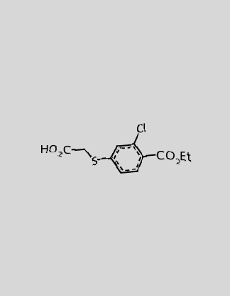 CCOC(=O)c1ccc(SCC(=O)O)cc1Cl